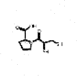 O=C(O)[C@@H]1CCCN1C(=O)C(S)CS